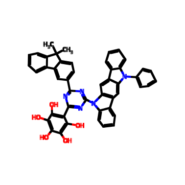 CC1(C)c2ccccc2-c2cc(-c3nc(-c4c(O)c(O)c(O)c(O)c4O)nc(-n4c5ccccc5c5cc6c(cc54)c4ccccc4n6-c4ccccc4)n3)ccc21